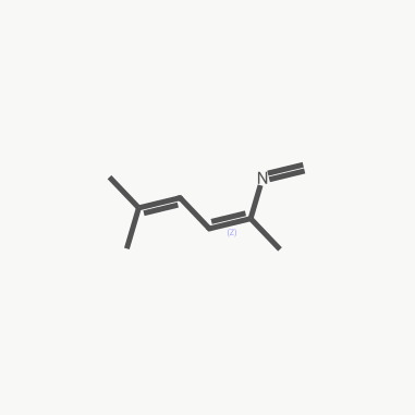 C=N/C(C)=C\C=C(C)C